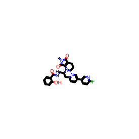 CN1C(=O)C2=C(C1=O)N(C(CNC(=O)c1ccccc1O)Cc1ccc(-c3ccc(F)nc3)cn1)CCC2